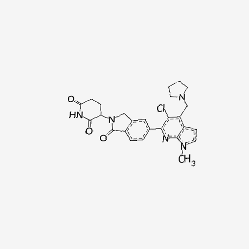 Cn1ccc2c(CN3CCCC3)c(Cl)c(-c3ccc4c(c3)CN(C3CCC(=O)NC3=O)C4=O)nc21